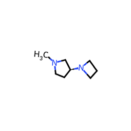 CN1CC[C@H](N2CCC2)C1